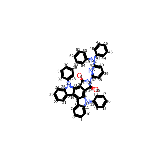 O=C1c2c(c3c(c4ccccc4n3-c3ccccc3)c3c4ccccc4n(-c4ccccc4)c23)C(=O)N1c1cccc(N(c2ccccc2)c2ccccc2)n1